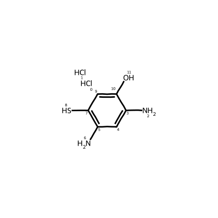 Cl.Cl.Nc1cc(N)c(S)cc1O